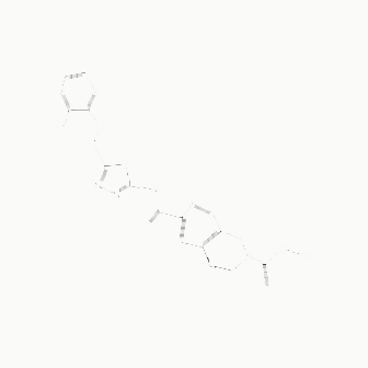 CC(C)(C)OC(=O)N1CCc2cc(C(=O)Nc3nnc(COc4ccccc4Cl)s3)ccc2C1